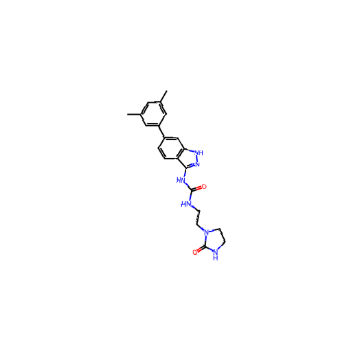 Cc1cc(C)cc(-c2ccc3c(NC(=O)NCCN4CCNC4=O)n[nH]c3c2)c1